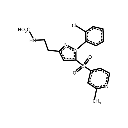 Cc1cc(S(=O)(=O)c2cc(CCNC(=O)O)nn2-c2ccccc2Cl)ccn1